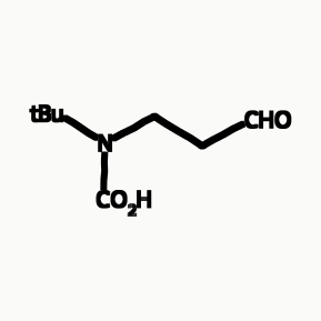 CC(C)(C)N(CCC=O)C(=O)O